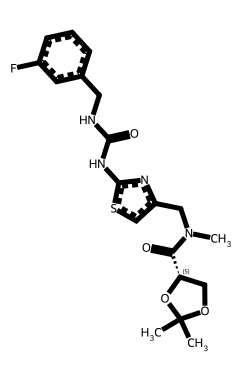 CN(Cc1csc(NC(=O)NCc2cccc(F)c2)n1)C(=O)[C@@H]1COC(C)(C)O1